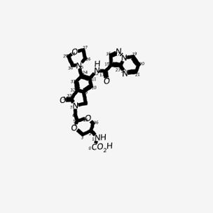 O=C(O)NC1COC(CN2Cc3cc(NC(=O)c4cnn5cccnc45)c(N4CCOCC4)cc3C2=O)OC1